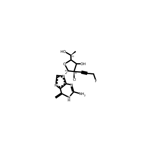 C=C1NC(N)=Nc2c1ncn2[C@@H]1OC([C@H](C)O)C(O)[C@]1(Cl)C#CCF